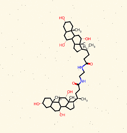 C[C@H](CCC(=O)NCCNC(=O)CC[C@@H](C)[C@H]1CCC2C3C(C[C@H](O)[C@@]21C)[C@@]1(C)CC[C@@H](O)CC1C[C@H]3O)[C@H]1CCC2C3C(C[C@H](O)[C@@]21C)[C@@]1(C)CC[C@@H](O)CC1C[C@H]3O